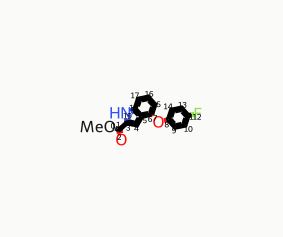 COC(=O)c1cc2c(Oc3ccc(F)cc3)cccc2[nH]1